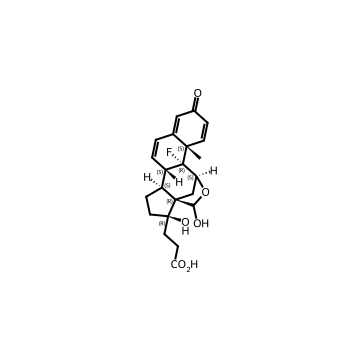 C[C@]12C=CC(=O)C=C1C=C[C@H]1[C@@H]3CC[C@@](O)(CCC(=O)O)[C@@]34C[C@H](OC4O)[C@@]12F